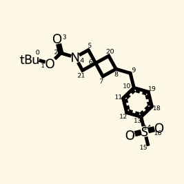 CC(C)(C)OC(=O)N1CC2(CC(Cc3ccc(S(C)(=O)=O)cc3)C2)C1